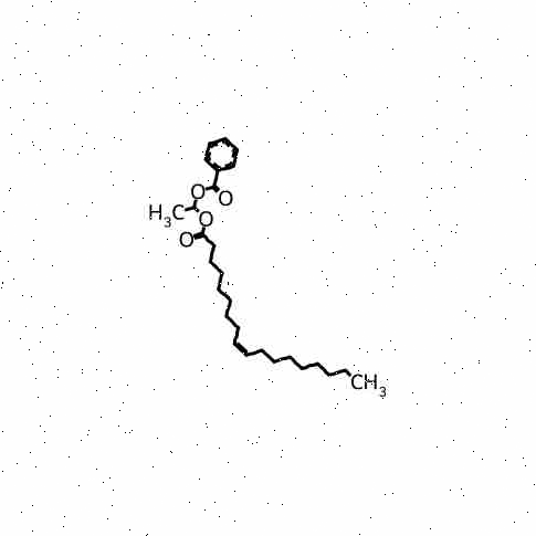 CCCCCCCC/C=C\CCCCCCCC(=O)OC(C)OC(=O)c1ccccc1